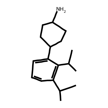 CC(C)c1cccc(C2CCC(N)CC2)c1C(C)C